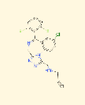 C#CCNCc1nnc2n1-c1ccc(Cl)cc1C(c1c(F)cccc1F)=NC2